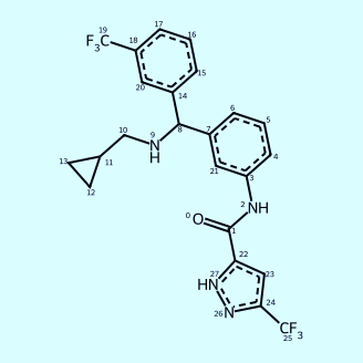 O=C(Nc1cccc(C(NCC2CC2)c2cccc(C(F)(F)F)c2)c1)c1cc(C(F)(F)F)n[nH]1